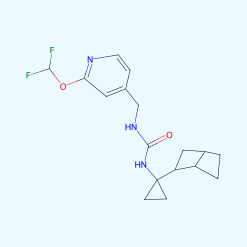 O=C(NCc1ccnc(OC(F)F)c1)NC1(C2CC3CCC32)CC1